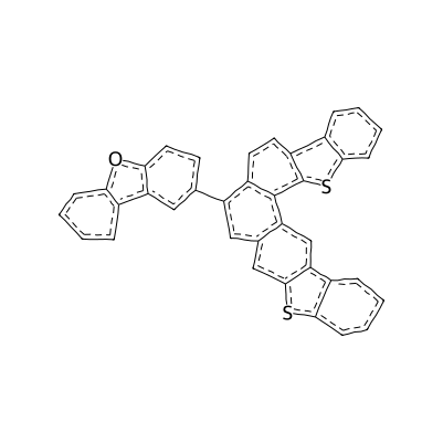 c1ccc2c(c1)oc1ccc(-c3cc4cc5sc6ccccc6c5cc4c4c3ccc3c5ccccc5sc34)cc12